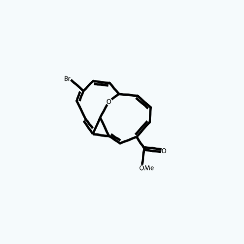 COC(=O)C1=CC=CC2C=CC(Br)=CC=C3C(=C1)C3O2